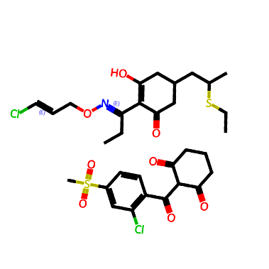 CCSC(C)CC1CC(=O)C(/C(CC)=N/OC/C=C/Cl)=C(O)C1.CS(=O)(=O)c1ccc(C(=O)C2C(=O)CCCC2=O)c(Cl)c1